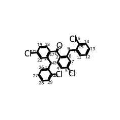 O=C(c1ccc(Cl)cc1Cc1ccccc1Cl)c1ccc(Cl)cc1Cc1ccccc1Cl